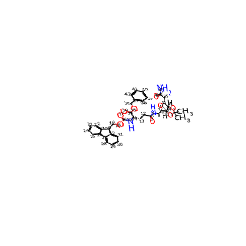 CC1(C)O[C@@H]2[C@H](O1)[C@@H](CNC(=O)CC[C@H](NC(=O)OCC1c3ccccc3-c3ccccc31)C(=O)OCc1ccccc1)O[C@H]2CC(N)=O